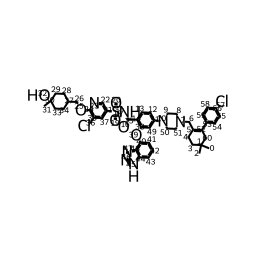 CC1(C)CCC(CN2CCN(c3ccc(C(=O)NS(=O)(=O)c4cnc(OCC5CCC(C)(O)CC5)c(Cl)c4)c(Oc4cccc5[nH]nnc45)c3)CC2)=C(c2ccc(Cl)cc2)C1